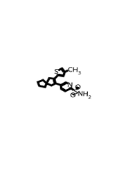 Cc1csc(C2=C(c3ccc(S(N)(=O)=O)nc3)CC3(CCCC3)C2)c1